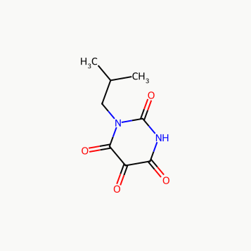 CC(C)CN1C(=O)NC(=O)C(=O)C1=O